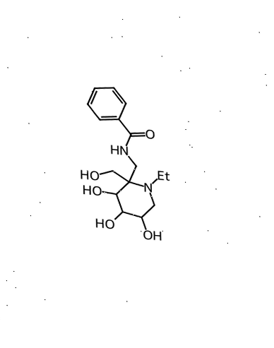 CCN1CC(O)C(O)C(O)C1(CO)CNC(=O)c1ccccc1